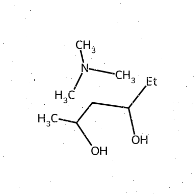 CCC(O)CC(C)O.CN(C)C